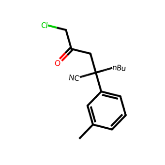 CCCCC(C#N)(CC(=O)CCl)c1cccc(C)c1